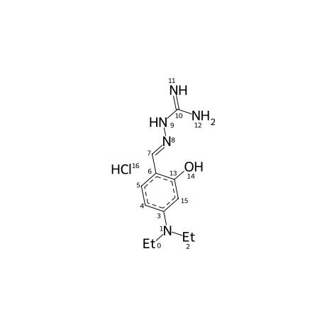 CCN(CC)c1ccc(C=NNC(=N)N)c(O)c1.Cl